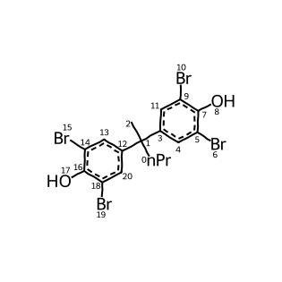 CCCC(C)(c1cc(Br)c(O)c(Br)c1)c1cc(Br)c(O)c(Br)c1